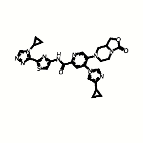 O=C(Nc1csc(-c2nncn2C2CC2)n1)c1cc(-n2cnc(C3CC3)c2)c(N2CCN3C(=O)OCC3C2)cn1